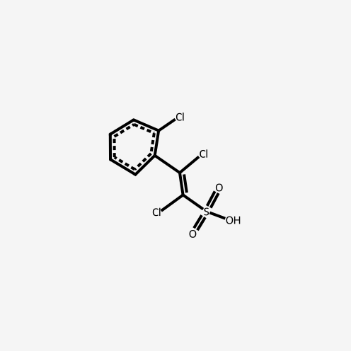 O=S(=O)(O)C(Cl)=C(Cl)c1ccccc1Cl